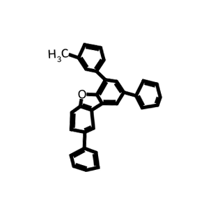 Cc1cccc(-c2cc(-c3ccccc3)cc3c2oc2ccc(-c4ccccc4)cc23)c1